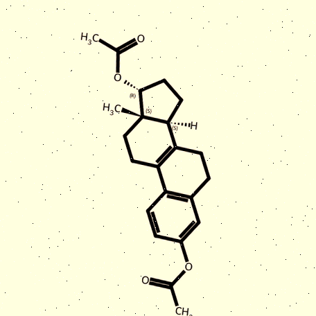 CC(=O)Oc1ccc2c(c1)CCC1=C2CC[C@]2(C)[C@H](OC(C)=O)CC[C@@H]12